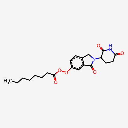 CCCCCCCC(=O)OOc1ccc2c(c1)C(=O)N(C1CCC(=O)NC1=O)C2